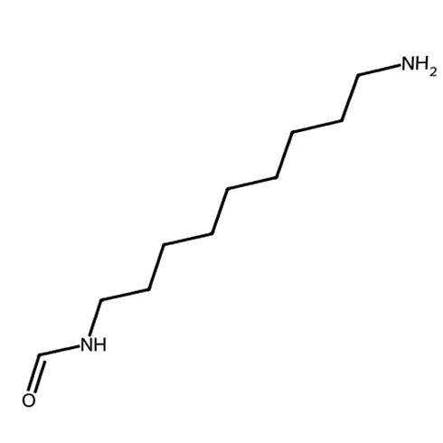 NCCCCCCCCCNC=O